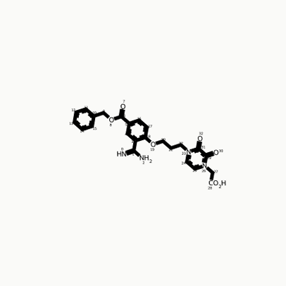 N=C(N)c1cc(C(=O)OCc2ccccc2)ccc1OCCCn1ccn(CC(=O)O)c(=O)c1=O